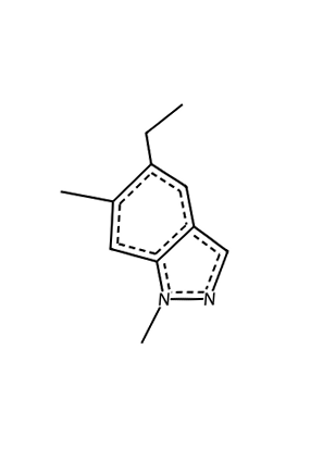 CCc1cc2cnn(C)c2cc1C